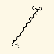 C=CCCCCCCCCCOCCOC(=O)Cl